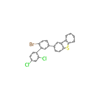 Clc1ccc(-c2cc(-c3ccc4sc5ccccc5c4c3)ccc2Br)c(Cl)c1